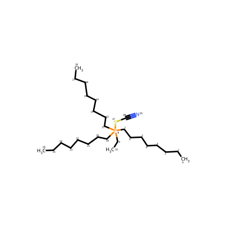 CCCCCCCCP(CC)(CCCCCCCC)(CCCCCCCC)SC#N